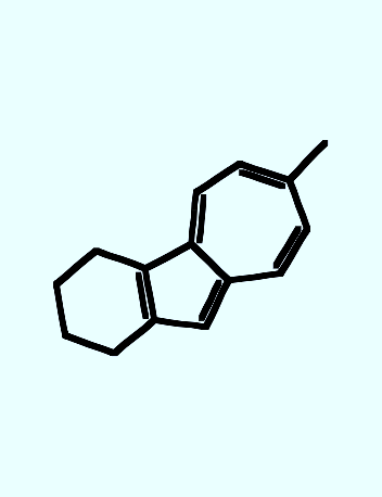 Cc1ccc2cc3c(c-2cc1)CCCC3